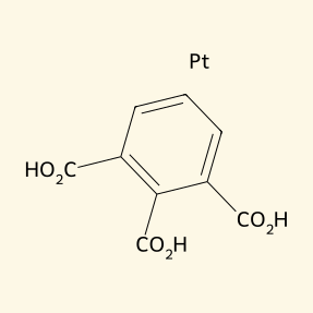 O=C(O)c1cccc(C(=O)O)c1C(=O)O.[Pt]